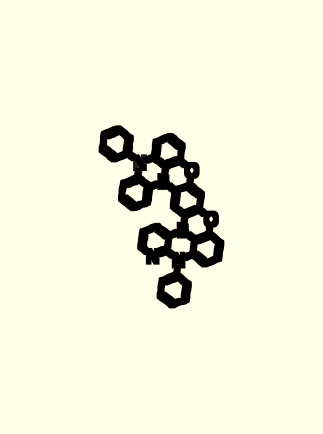 c1ccc(N2c3ccccc3B3c4cc5c(cc4Oc4cccc2c43)Oc2cccc3c2B5c2cccnc2N3c2ccccc2)cc1